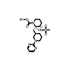 CC(C)OC(=O)N1CCC[C@H](NS(C)(=O)=O)[C@@H]1CC1CCCN(c2ncccn2)C1